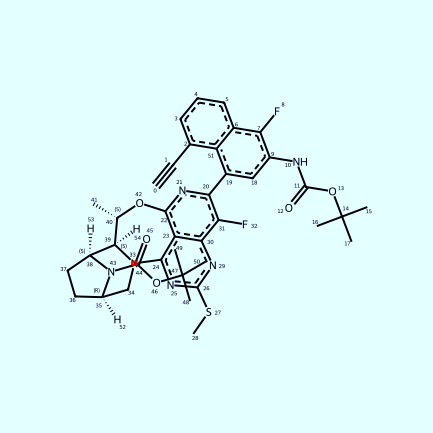 C#Cc1cccc2c(F)c(NC(=O)OC(C)(C)C)cc(-c3nc4c5c(nc(SC)nc5c3F)N3C[C@H]5CC[C@@H]([C@H]3[C@H](C)O4)N5C(=O)OC(C)(C)C)c12